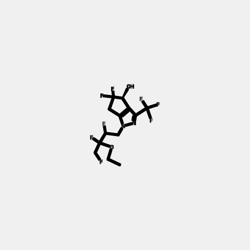 CCOC(F)(CF)C(F)Cn1nc(C(F)(F)F)c2c1CC(F)(F)[C@H]2O